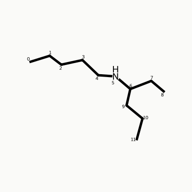 CCCCCNC(CC)CCC